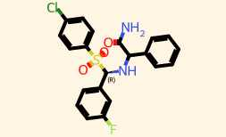 NC(=O)C(N[C@@H](c1cccc(F)c1)S(=O)(=O)c1ccc(Cl)cc1)c1ccccc1